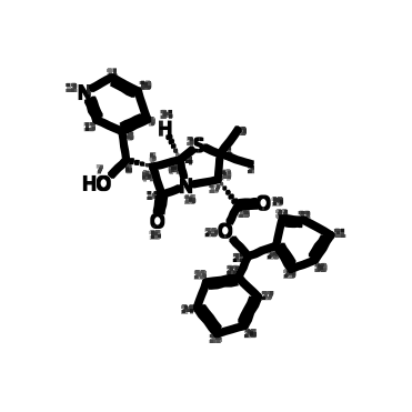 CC1(C)S[C@@H]2[C@@H](C(O)c3cccnc3)C(=O)N2[C@H]1C(=O)OC(c1ccccc1)c1ccccc1